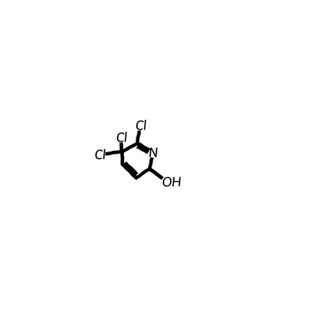 OC1C=CC(Cl)(Cl)C(Cl)=N1